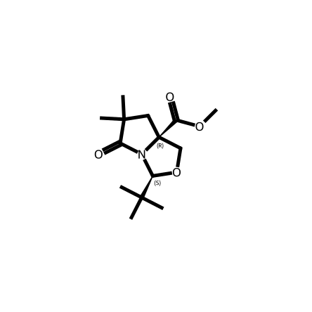 COC(=O)[C@@]12CO[C@@H](C(C)(C)C)N1C(=O)C(C)(C)C2